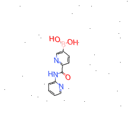 O=C(Nc1ccccn1)c1ccc(B(O)O)cn1